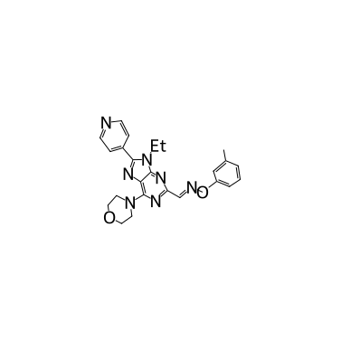 CCn1c(-c2ccncc2)nc2c(N3CCOCC3)nc(/C=N/Oc3cccc(C)c3)nc21